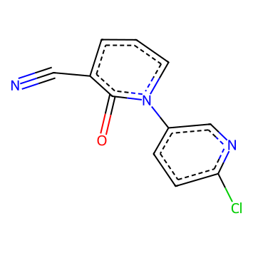 N#Cc1cccn(-c2ccc(Cl)nc2)c1=O